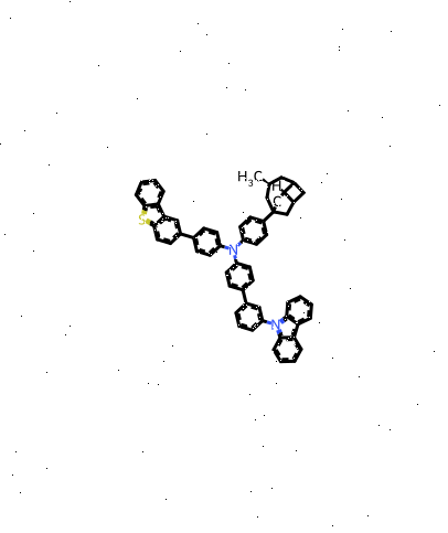 C[C@H]1CC2CC3CC(c4ccc(N(c5ccc(-c6cccc(-n7c8ccccc8c8ccccc87)c6)cc5)c5ccc(-c6ccc7sc8ccccc8c7c6)cc5)cc4)(C1)C[C@H]23